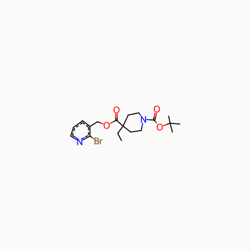 CCC1(C(=O)OCc2cccnc2Br)CCN(C(=O)OC(C)(C)C)CC1